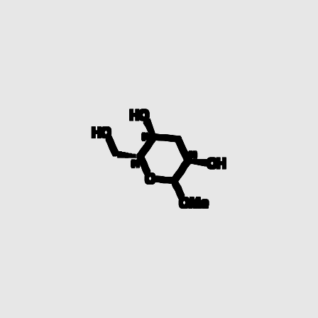 COC1O[C@H](CO)[C@@H](O)C[C@H]1O